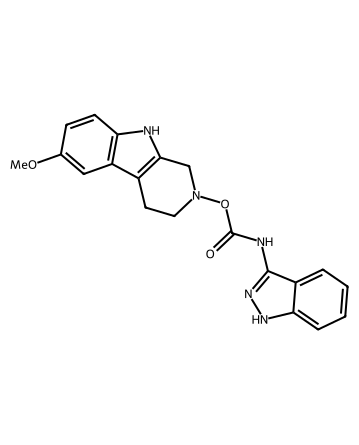 COc1ccc2[nH]c3c(c2c1)CCN(OC(=O)Nc1n[nH]c2ccccc12)C3